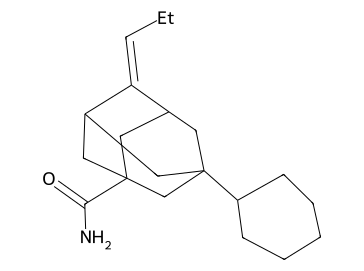 CCC=C1C2CC3(C(N)=O)CC1CC(C1CCCCC1)(C2)C3